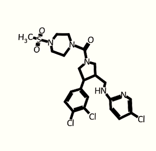 CS(=O)(=O)N1CCN(C(=O)N2CC(CNc3ccc(Cl)cn3)C(c3ccc(Cl)c(Cl)c3)C2)CC1